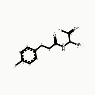 CC(C)(C)C(NC(=O)CCc1ccc(I)cc1)C(=O)I